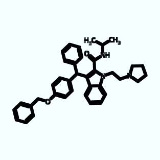 CC(C)NC(=O)c1c(C(c2ccccc2)c2ccc(OCc3ccccc3)cc2)c2ccccc2n1CCN1CCCC1